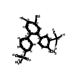 Cc1ccc(-c2cc(F)c(F)cc2-c2ccc(S(N)(=O)=O)cc2)cc1C(F)(F)F